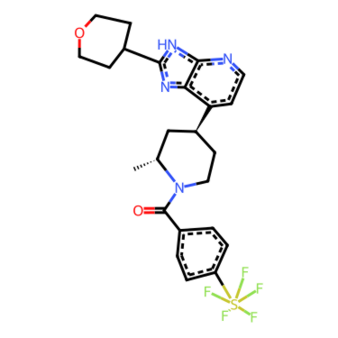 C[C@@H]1C[C@@H](c2ccnc3[nH]c(C4CCOCC4)nc23)CCN1C(=O)c1ccc(S(F)(F)(F)(F)F)cc1